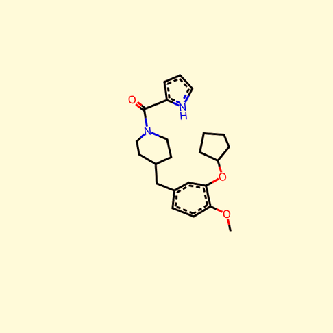 COc1ccc(CC2CCN(C(=O)c3ccc[nH]3)CC2)cc1OC1CCCC1